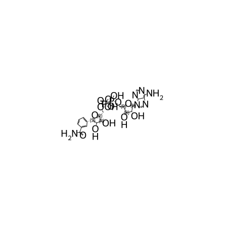 NC(=O)c1cccc([C@@H]2O[C@H](COP(=O)(O)OP(=O)(O)OC[C@H]3O[C@@H](n4cnc5c(N)ncnc54)C(O)[C@H]3O)[C@H](O)C2O)c1